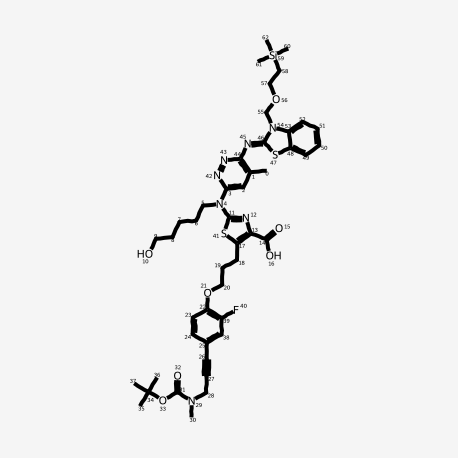 Cc1cc(N(CCCCCO)c2nc(C(=O)O)c(CCCOc3ccc(C#CCN(C)C(=O)OC(C)(C)C)cc3F)s2)nnc1/N=c1\sc2ccccc2n1COCC[Si](C)(C)C